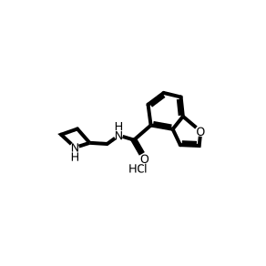 Cl.O=C(NCC1CCN1)c1cccc2occc12